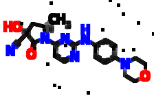 C[C@H]1C[C@](O)(C#N)C(=O)N1c1ccnc(Nc2ccc(N3CCOCC3)cc2)n1